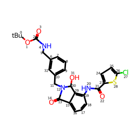 CC(C)(C)OC(=O)NCc1cccc(CN2C(=O)c3cccc(NC(=O)c4ccc(Cl)s4)c3C2O)c1